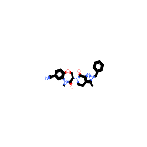 Cc1c2c(nn1Cc1ccccc1)C(=O)N([C@H]1COc3ccc(C#N)cc3N(C)C1=O)CC2